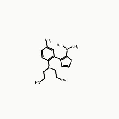 CN(C)c1sccc1-c1cc(N)ccc1N(CCO)CCO